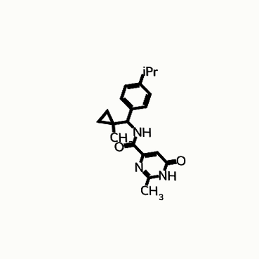 Cc1nc(C(=O)NC(c2ccc(C(C)C)cc2)C2(C)CC2)cc(=O)[nH]1